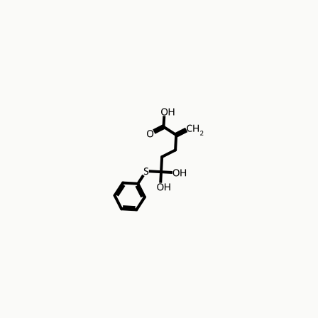 C=C(CCC(O)(O)Sc1ccccc1)C(=O)O